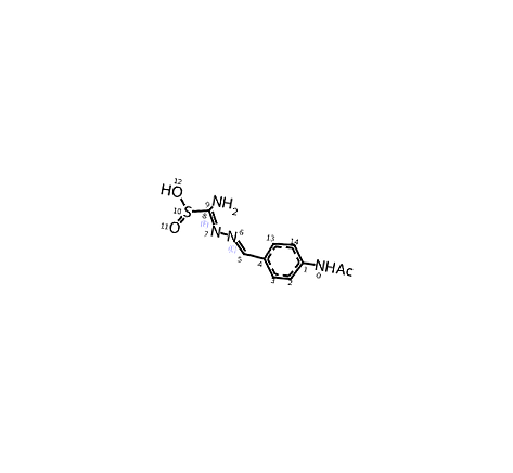 CC(=O)Nc1ccc(/C=N/N=C(\N)S(=O)O)cc1